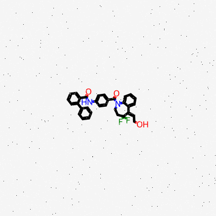 O=C(Nc1ccc(C(=O)N2CCC(F)(F)C(=CCO)c3ccccc32)cc1)c1ccccc1-c1ccccc1